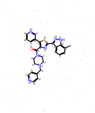 Cc1cccc2c(-c3nc(C(=O)N4CCN(Cc5ccncc5)CC4)c(-c4cccnc4)s3)n[nH]c12